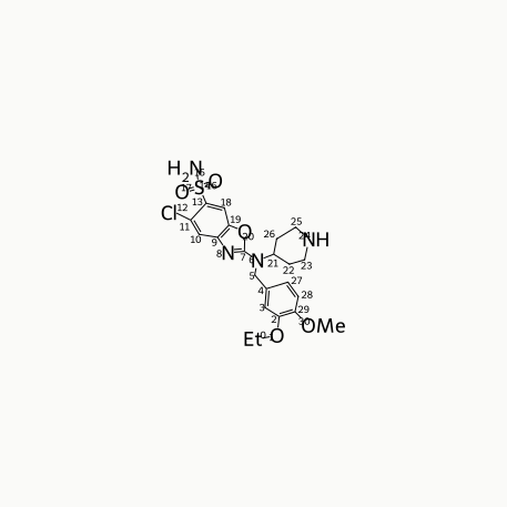 CCOc1cc(CN(c2nc3cc(Cl)c(S(N)(=O)=O)cc3o2)C2CCNCC2)ccc1OC